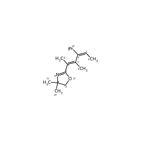 C/C=C(\C(C)=C(/C)C1=NC(C)(C)CO1)C(C)C